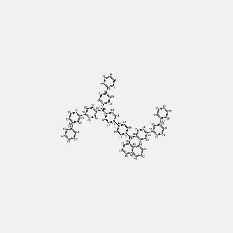 c1ccc(-c2ccc(N(c3ccc(-c4ccc(N(c5ccc(-c6cccc(-c7ccccc7)c6)cc5)c5cccc6ccccc56)cc4)cc3)c3ccc(-c4cccc(-c5ccccc5)c4)cc3)cc2)cc1